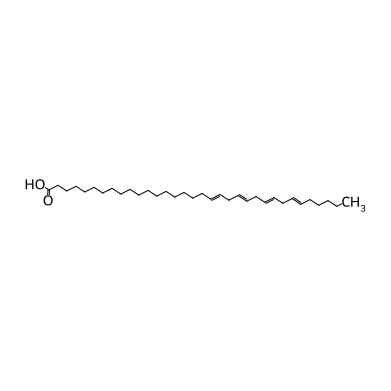 CCCCCC=CCC=CCC=CCC=CCCCCCCCCCCCCCCCCCC(=O)O